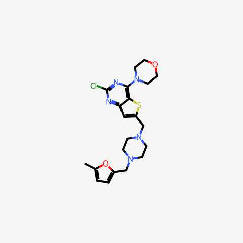 Cc1ccc(CN2CCN(Cc3cc4nc(Cl)nc(N5CCOCC5)c4s3)CC2)o1